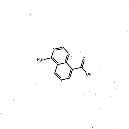 Nc1ncnc2c(C(=O)O)cncc12